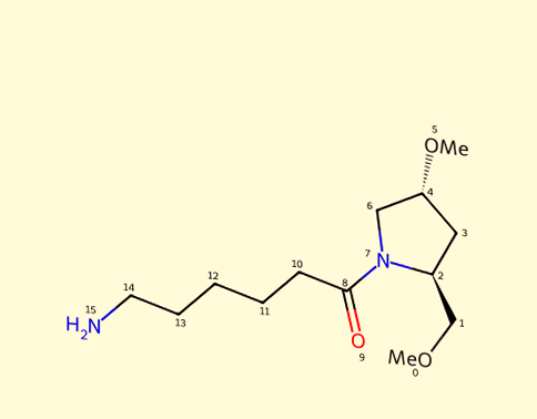 COC[C@@H]1C[C@@H](OC)CN1C(=O)CCCCCN